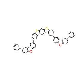 c1ccc(-c2ccc3oc4ccc(-c5ccc6sc7cc8sc9ccc(-c%10ccc%11oc%12ccc(-c%13ccccc%13)cc%12c%11c%10)cc9c8cc7c6c5)cc4c3c2)cc1